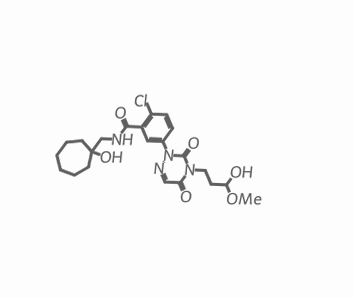 COC(O)CCn1c(=O)cnn(-c2ccc(Cl)c(C(=O)NCC3(O)CCCCCC3)c2)c1=O